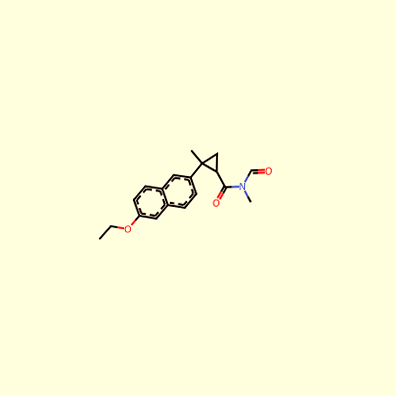 CCOc1ccc2cc(C3(C)CC3C(=O)N(C)C=O)ccc2c1